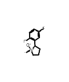 [CH2][N+]1([O-])CCCC1c1cc(F)ccc1F